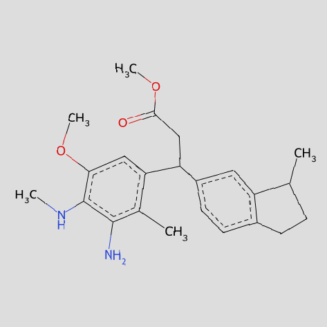 CNc1c(OC)cc(C(CC(=O)OC)c2ccc3c(c2)C(C)CC3)c(C)c1N